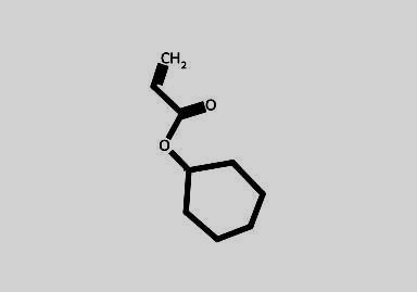 C=CC(=O)O[C]1CCCCC1